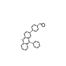 O=Cc1ccc(-c2ccc3[c]c4ccccc4c(-c4ccccc4)c3c2)cc1